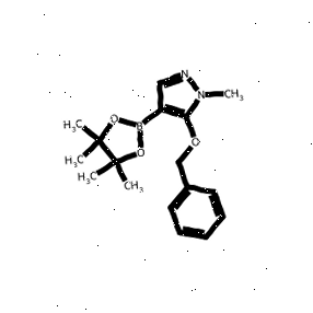 Cn1ncc(B2OC(C)(C)C(C)(C)O2)c1OCc1ccccc1